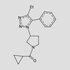 CCc1nnn(C2CCN(C(=O)C3CC3)C2)c1-c1ccccc1